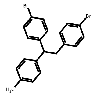 Cc1ccc(C(Cc2ccc(Br)cc2)c2ccc(Br)cc2)cc1